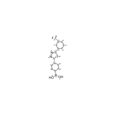 OB(O)c1ccc(-c2nnc(-c3cccc(C(F)(F)F)c3)s2)cc1